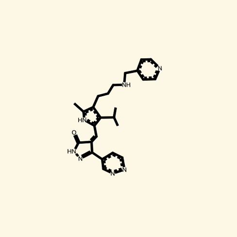 Cc1[nH]c(C=C2C(=O)NN=C2c2ccnnc2)c(C(C)C)c1CCCNCc1ccncc1